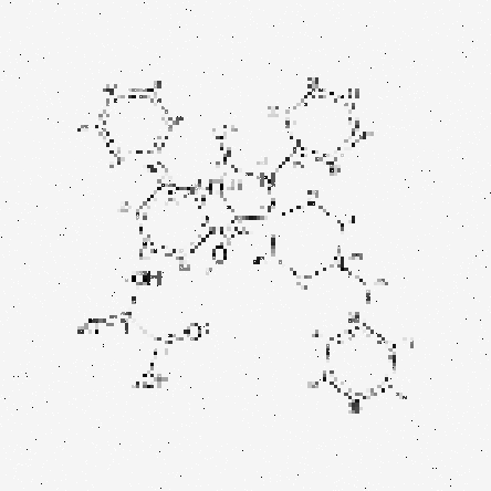 O=C(O)C(=O)O.O=C(c1ccccc1)N(c1ccccc1)C1(C(=O)OCc2ccccc2)CCN(Cc2ccccc2)CC1